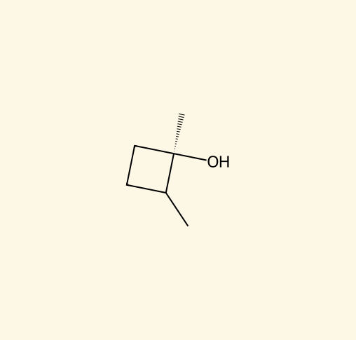 CC1CC[C@@]1(C)O